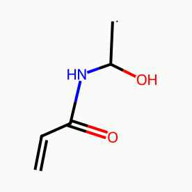 [CH2]C(O)NC(=O)C=C